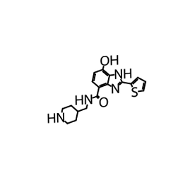 O=C(NCC1CCNCC1)c1ccc(O)c2[nH]c(-c3cccs3)nc12